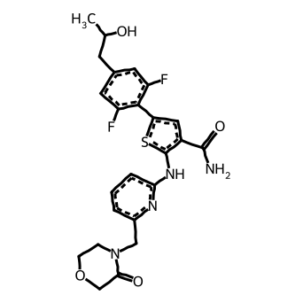 CC(O)Cc1cc(F)c(-c2cc(C(N)=O)c(Nc3cccc(CN4CCOCC4=O)n3)s2)c(F)c1